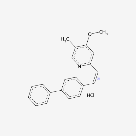 COc1cc(/C=C\c2ccc(-c3ccccc3)cc2)ncc1C.Cl